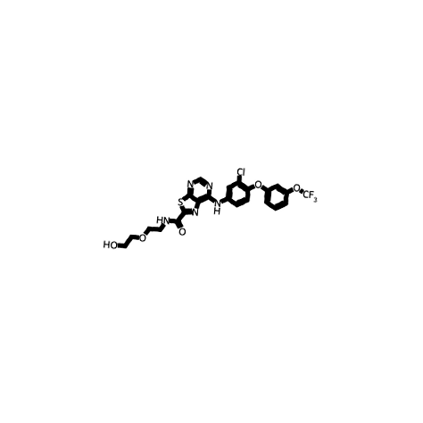 O=C(NCCOCCO)c1nc2c(Nc3ccc(Oc4cccc(OC(F)(F)F)c4)c(Cl)c3)ncnc2s1